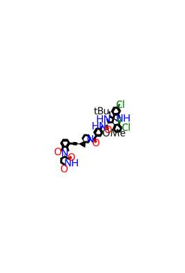 COc1cc(C(=O)N2CCC[C@]3(C[C@H]3C#Cc3cccc4c3CN([C@H]3CCC(=O)NC3=O)C4=O)C2)ccc1NC(=O)[C@@H]1N[C@@H](CC(C)(C)C)[C@@]2(CNc3cc(Cl)ccc32)[C@H]1c1cccc(Cl)c1F